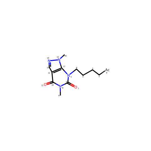 CC(=O)CCCCn1c(=O)n(C)c(=O)c2cnn(C)c21